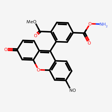 COC(=O)c1ccc(C(=O)ON)cc1-c1c2ccc(=O)cc-2oc2cc(N=O)ccc12